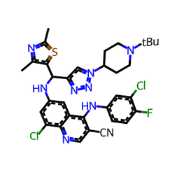 Cc1nc(C)c(C(Nc2cc(Cl)c3ncc(C#N)c(Nc4ccc(F)c(Cl)c4)c3c2)c2cn(C3CCN(C(C)(C)C)CC3)nn2)s1